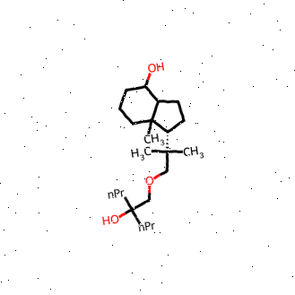 CCCC(O)(CCC)COCC(C)(C)[C@H]1CCC2C(O)CCCC21C